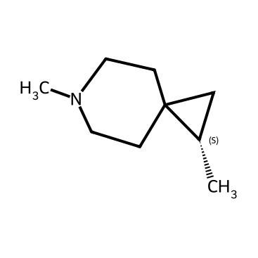 C[C@H]1CC12CCN(C)CC2